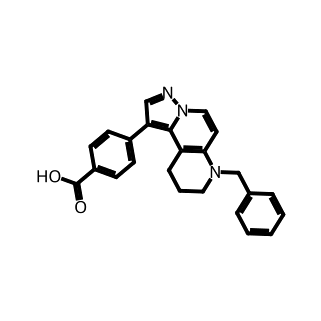 O=C(O)c1ccc(-c2cnn3ccc4c(c23)CCCN4Cc2ccccc2)cc1